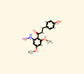 COc1cc(NP)c(C(=O)CCc2ccc(O)cc2)c(OC)c1